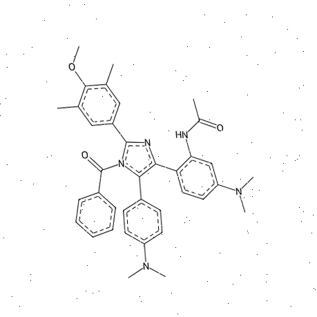 COc1c(C)cc(-c2nc(-c3ccc(N(C)C)cc3NC(C)=O)c(-c3ccc(N(C)C)cc3)n2C(=O)c2ccccc2)cc1C